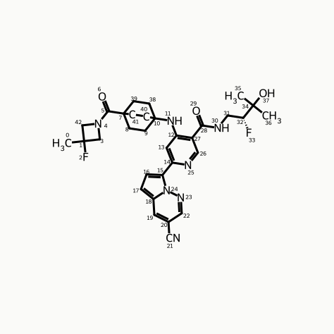 CC1(F)CN(C(=O)C23CCC(Nc4cc(-c5ccc6cc(C#N)cnn56)ncc4C(=O)NC[C@@H](F)C(C)(C)O)(CC2)CC3)C1